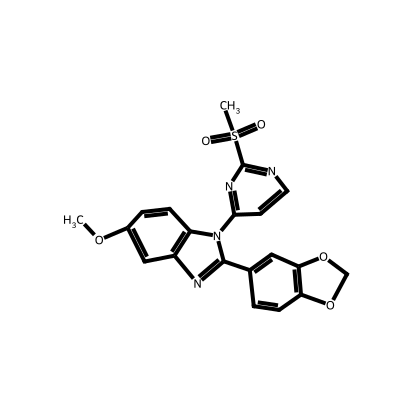 COc1ccc2c(c1)nc(-c1ccc3c(c1)OCO3)n2-c1ccnc(S(C)(=O)=O)n1